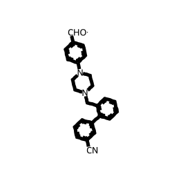 N#Cc1cccc(-c2ccccc2CN2CCN(c3ccc([C]=O)cc3)CC2)c1